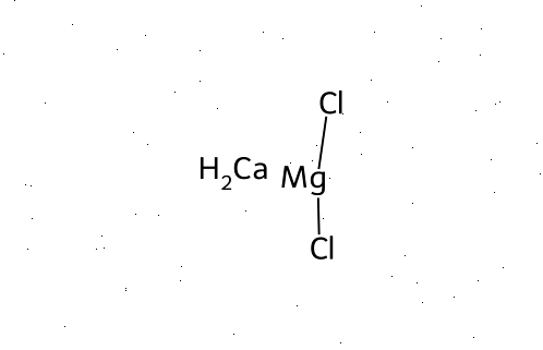 [CaH2].[Cl][Mg][Cl]